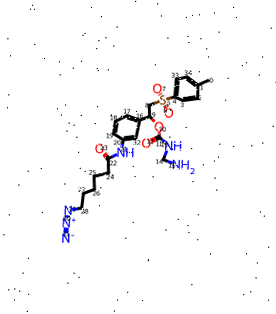 Cc1ccc(S(=O)(=O)CC(OC(=O)NCN)c2cccc(NC(=O)CCCCCN=[N+]=[N-])c2)cc1